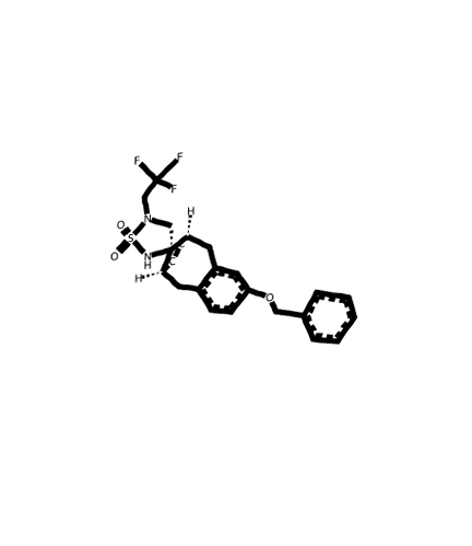 O=S1(=O)N[C@@]2(CN1CC(F)(F)F)[C@@H]1CC[C@H]2Cc2ccc(OCc3ccccc3)cc2C1